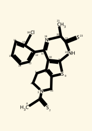 CC(=S)N1CCc2c(sc3c2C(c2ccccc2Cl)=NC(C)C(=S)N3)C1